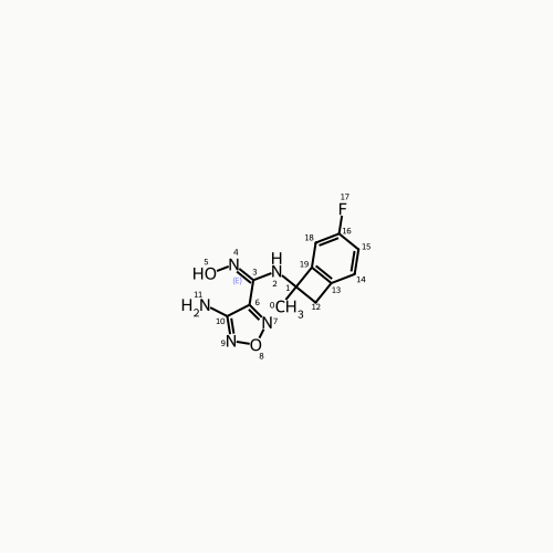 CC1(N/C(=N/O)c2nonc2N)Cc2ccc(F)cc21